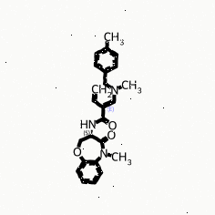 C=C/C(=C\N(C)Cc1ccc(C)cc1)C(=O)N[C@H]1COc2ccccc2N(C)C1=O